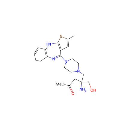 COC(=O)CC(N)(CO)CN1CCN(C2=NC3=C(C=CCC3)Nc3sc(C)cc32)CC1